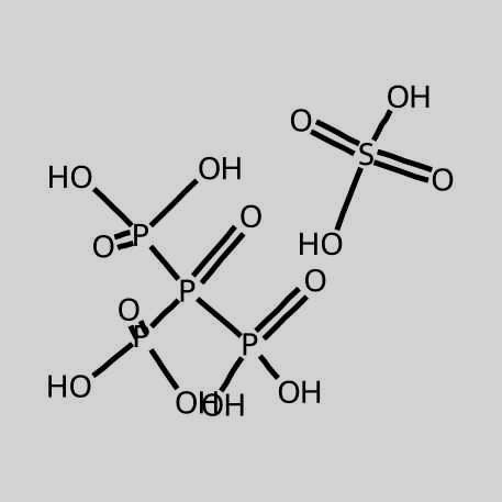 O=P(O)(O)P(=O)(P(=O)(O)O)P(=O)(O)O.O=S(=O)(O)O